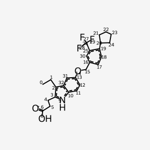 CCc1c(CCC(=O)O)[nH]c2ccc(OCc3ccc(C4CCCC4)c(C(F)(F)F)c3)cc12